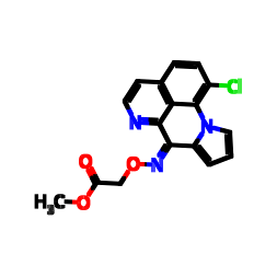 COC(=O)CON=c1c2nccc3ccc(Cl)c(c32)n2cccc12